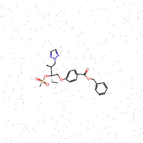 CC[C@](COc1ccc(C(=O)OCc2ccccc2)cc1)(OS(C)(=O)=O)C(C)Cn1nccn1